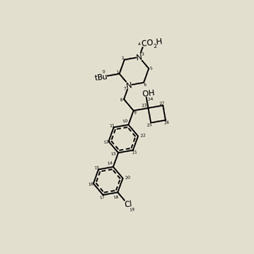 CC(C)(C)C1CN(C(=O)O)CCN1CC(c1ccc(-c2cccc(Cl)c2)cc1)C1(O)CCC1